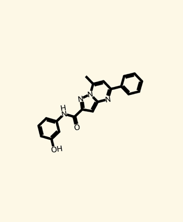 Cc1cc(-c2ccccc2)nc2cc(C(=O)Nc3cccc(O)c3)nn12